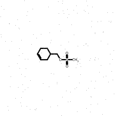 CS(=O)(=O)OCC1CC=CCC1